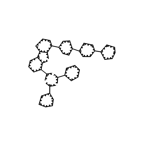 c1ccc(-c2ccc(-c3ccc(-c4cccc5c4sc4c(-c6nc(-c7ccccc7)nc(-c7ccccc7)n6)cccc45)cc3)cc2)cc1